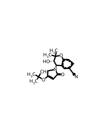 CC(C)(C)OC1=CC(=O)N([C@@H]2c3cc(C#N)ccc3OC(C)(C)[C@H]2O)C1